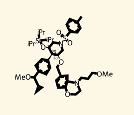 COCCCN1CCOc2ccc(CO[C@H]3CN(S(=O)(=O)c4ccc(C)cc4)C[C@@H](O[Si](C(C)C)(C(C)C)C(C)C)[C@@H]3c3ccc(C(OC)C4CC4)cc3)cc21